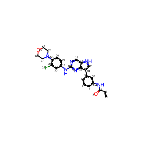 C=CC(=O)Nc1cccc(-c2c[nH]c3cnc(Nc4ccc(N5CCOCC5)c(F)c4)nc23)c1